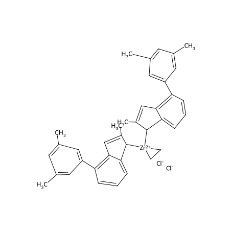 CC1=Cc2c(-c3cc(C)cc(C)c3)cccc2[CH]1[Zr+2]1([CH]2C(C)=Cc3c(-c4cc(C)cc(C)c4)cccc32)[CH2][CH2]1.[Cl-].[Cl-]